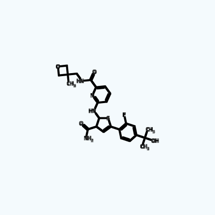 CC1(CNC(=O)c2cccc(NC3SC(c4ccc(C(C)(C)O)cc4F)=CC3C(N)=O)n2)COC1